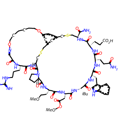 CC[C@H](C)[C@@H]1NC(=O)[C@H](CC(=O)OOC)NC(=O)[C@H](CCOC)NC(=O)[C@@H]2CCCN2C(=O)[C@@H]2CSCc3cc(cc(c3)OCCCCCCO/N=C/C(=O)N[C@@H](CCCNC(=N)N)C(=O)N2)CSC[C@@H](C(N)=O)NC(=O)[C@H](CCC(=O)O)NC(=O)[C@H](CCC(N)=O)NC(=O)[C@H](Cc2c[nH]c3ccccc23)NC1=O